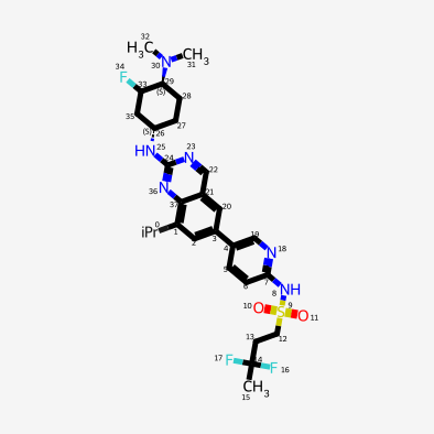 CC(C)c1cc(-c2ccc(NS(=O)(=O)CCC(C)(F)F)nc2)cc2cnc(N[C@H]3CC[C@H](N(C)C)C(F)C3)nc12